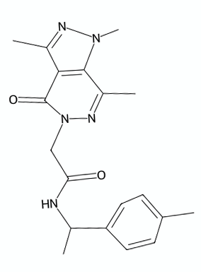 Cc1ccc(C(C)NC(=O)Cn2nc(C)c3c(c(C)nn3C)c2=O)cc1